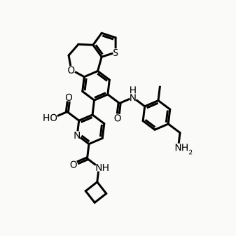 Cc1cc(CN)ccc1NC(=O)c1cc2c(cc1-c1ccc(C(=O)NC3CCC3)nc1C(=O)O)OCCc1ccsc1-2